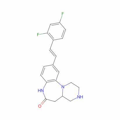 O=C1CC2CNCCN2c2cc(/C=C/c3ccc(F)cc3F)ccc2N1